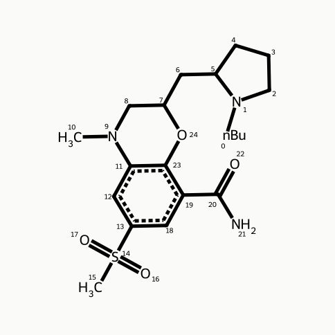 CCCCN1CCCC1CC1CN(C)c2cc(S(C)(=O)=O)cc(C(N)=O)c2O1